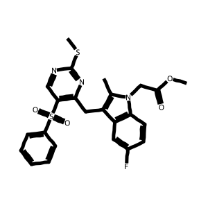 COC(=O)Cn1c(C)c(Cc2nc(SC)ncc2S(=O)(=O)c2ccccc2)c2cc(F)ccc21